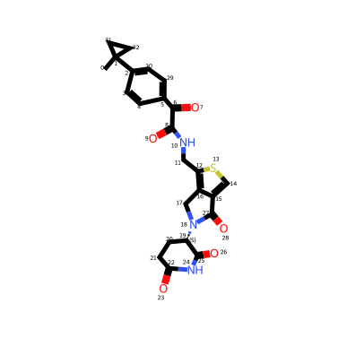 CC1(c2ccc(C(=O)C(=O)NCc3scc4c3CN([C@H]3CCC(=O)NC3=O)C4=O)cc2)CC1